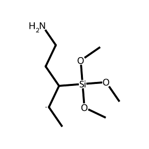 C[CH]C(CCN)[Si](OC)(OC)OC